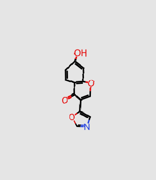 O=c1c(-c2cnco2)coc2cc(O)ccc12